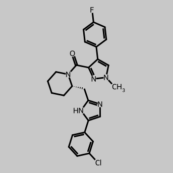 Cn1cc(-c2ccc(F)cc2)c(C(=O)N2CCCC[C@H]2Cc2ncc(-c3cccc(Cl)c3)[nH]2)n1